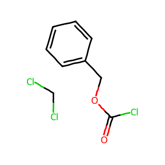 ClCCl.O=C(Cl)OCc1ccccc1